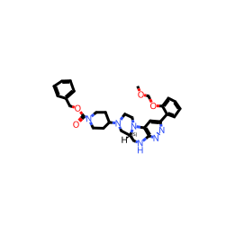 COCOc1ccccc1-c1cc2c(nn1)NC[C@H]1CN(C3CCN(C(=O)OCc4ccccc4)CC3)CCN21